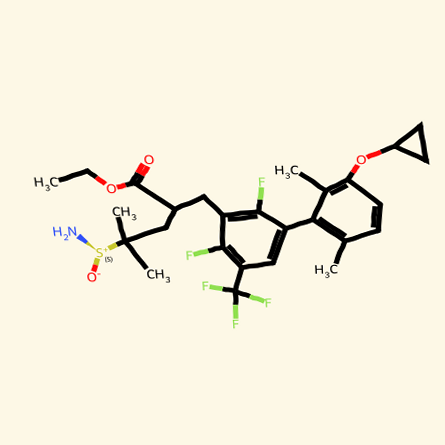 CCOC(=O)C(Cc1c(F)c(-c2c(C)ccc(OC3CC3)c2C)cc(C(F)(F)F)c1F)CC(C)(C)[S@+](N)[O-]